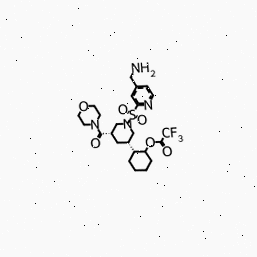 NCc1ccnc(S(=O)(=O)N2C[C@@H](C(=O)N3CCOCC3)C[C@@H](C3CCCCC3OC(=O)C(F)(F)F)C2)c1